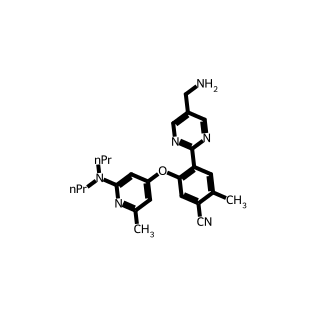 CCCN(CCC)c1cc(Oc2cc(C#N)c(C)cc2-c2ncc(CN)cn2)cc(C)n1